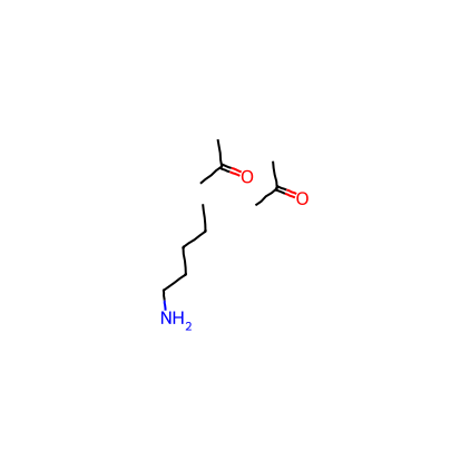 CC(C)=O.CC(C)=O.CCCCCN